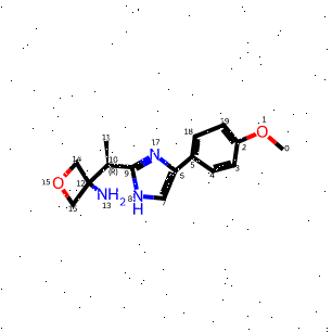 COc1ccc(-c2c[nH]c([C@H](C)C3(N)COC3)n2)cc1